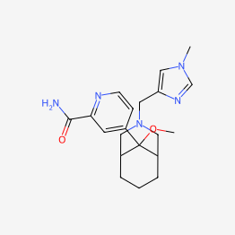 COC1(c2ccnc(C(N)=O)c2)C2CCCC1CN(Cc1cn(C)cn1)C2